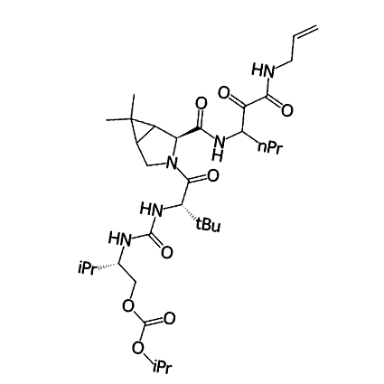 C=CCNC(=O)C(=O)C(CCC)NC(=O)[C@@H]1C2C(CN1C(=O)[C@@H](NC(=O)N[C@H](COC(=O)OC(C)C)C(C)C)C(C)(C)C)C2(C)C